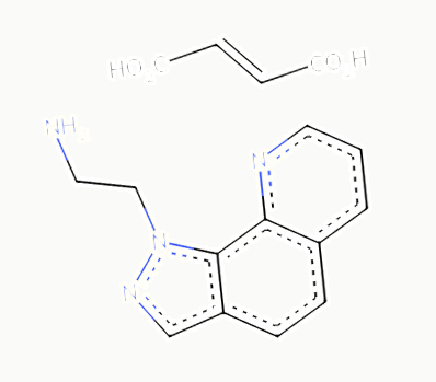 NCCn1ncc2ccc3cccnc3c21.O=C(O)C=CC(=O)O